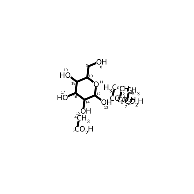 CC(=O)O.CC(=O)O.CC(=O)O.CC(=O)O.OCC1OC(O)C(O)C(O)C1O